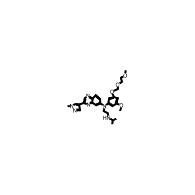 COCCOCOc1cc(OC)cc(N(CCNC(C)C)c2ccc3ncc(-c4cnn(C)c4)nc3c2)c1